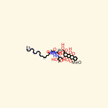 CC/C=C\C/C=C\C/C=C\C/C=C\C/C=C\C/C=C\CCC(=O)N[C@@H](C)C(=O)N[C@H](C(=O)N[C@H]1C[C@H](O[C@H]2C[C@](O)(C(=O)CO)Cc3c(O)c4c(c(O)c32)C(=O)c2c(OC)cccc2C4=O)O[C@@H](C)[C@@H]1O)C(C)C